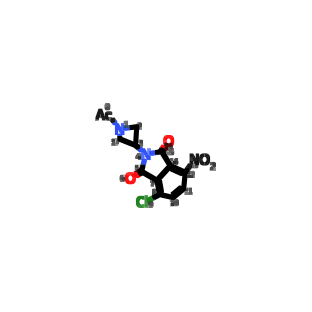 CC(=O)N1CC(N2C(=O)c3c(Cl)ccc([N+](=O)[O-])c3C2=O)C1